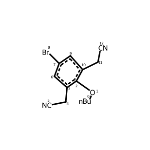 CCCCOc1c(CC#N)cc(Br)cc1CC#N